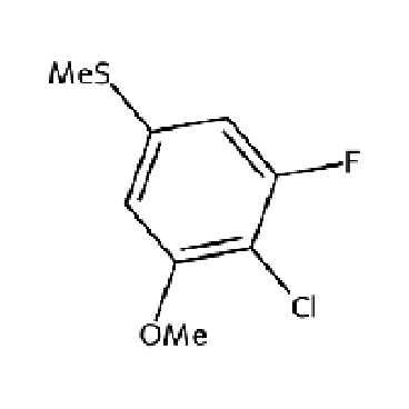 COc1cc(SC)cc(F)c1Cl